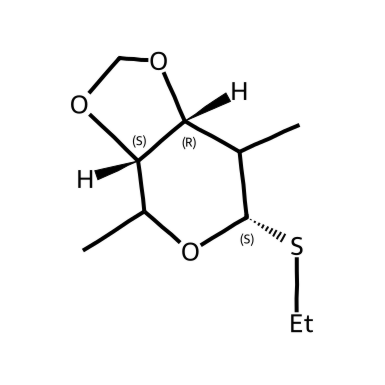 CCS[C@@H]1OC(C)[C@@H]2OCO[C@@H]2C1C